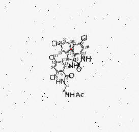 CC(=O)NCCNC(=O)c1c(Cl)cc(Cl)cc1NC1(Cc2cccc(Cl)c2)C(=O)Nc2cc(Cl)ccc21